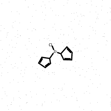 [Cl][Zr]([CH]1C=CC=C1)[CH]1C=CC=C1